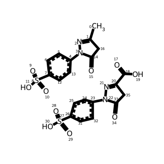 CC1=NN(c2ccc(S(=O)(=O)O)cc2)C(=O)C1.O=C(O)C1=NN(c2ccc(S(=O)(=O)O)cc2)C(=O)C1